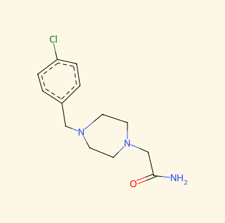 NC(=O)CN1CCN(Cc2ccc(Cl)cc2)CC1